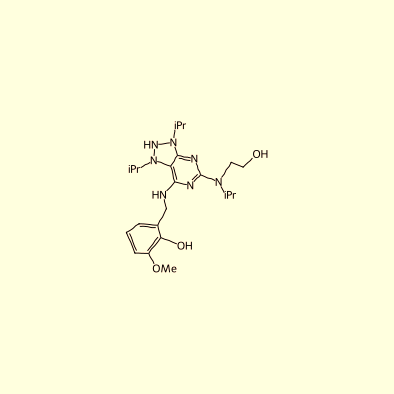 COc1cccc(CNc2nc(N(CCO)C(C)C)nc3c2N(C(C)C)NN3C(C)C)c1O